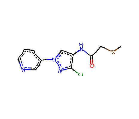 CSCC(=O)Nc1cn(-c2cccnc2)nc1Cl